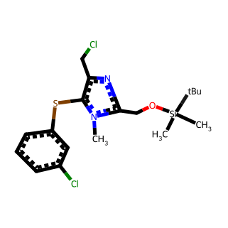 Cn1c(CO[Si](C)(C)C(C)(C)C)nc(CCl)c1Sc1cccc(Cl)c1